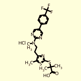 Cc1sc(SC(C)(C)C(=O)O)nc1CCN(C)c1ncc(-c2ccc(C(F)(F)F)cc2)cn1.Cl